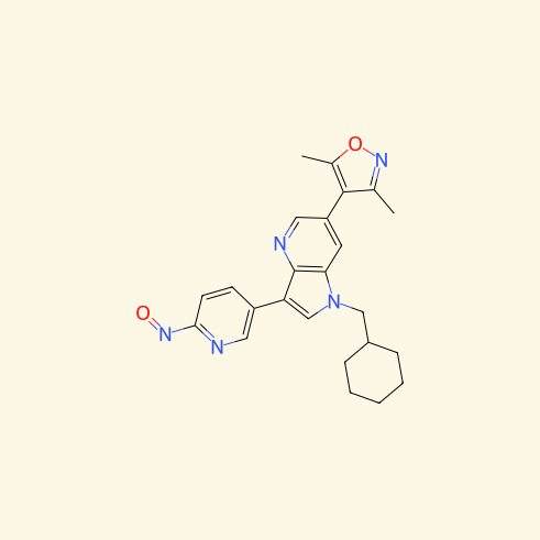 Cc1noc(C)c1-c1cnc2c(-c3ccc(N=O)nc3)cn(CC3CCCCC3)c2c1